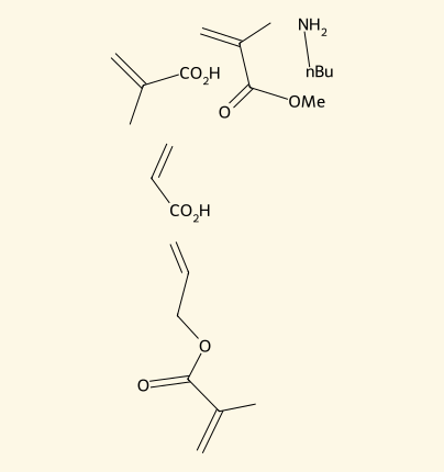 C=C(C)C(=O)O.C=C(C)C(=O)OC.C=CC(=O)O.C=CCOC(=O)C(=C)C.CCCCN